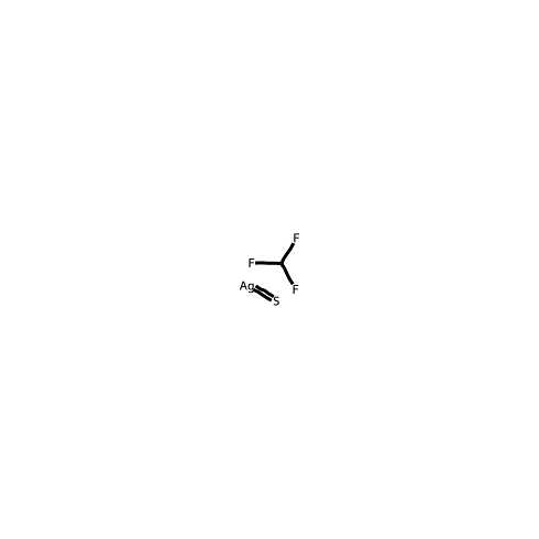 F[C](F)F.[S]=[Ag]